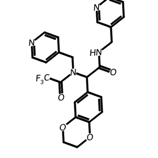 O=C(NCc1cccnc1)C(c1ccc2c(c1)OCCO2)N(Cc1ccncc1)C(=O)C(F)(F)F